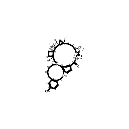 C[C@@H]1CC[C@H]2C[C@@H]2[C@@](C)(O)[C@@H]2CC[C@H]2CN2CCCCc3cc(Cl)ccc3COc3ccc(cc32)C(=O)NS1(=O)=O